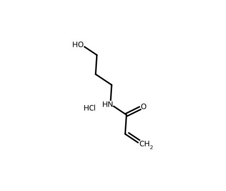 C=CC(=O)NCCCO.Cl